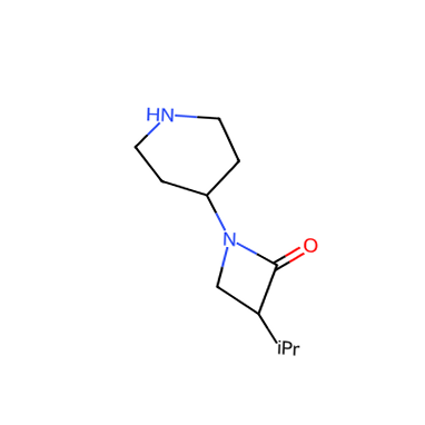 CC(C)C1CN(C2CCNCC2)C1=O